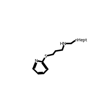 CCCCCCCCNCCCSc1ccccn1